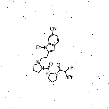 CCCC(CCC)C(=O)N1CCC[C@@H]1C(=O)N1CCC[C@H]1CCc1cc2ccc(C#N)cc2n1CC